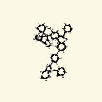 c1ccc(-c2nc3ccc(-c4ccc(-c5nc6ccccc6n5-c5ccccc5)cc4)cc3c3cc4c(cc23)Sc2ccccc2C42c3ccccc3-c3ccccc32)cc1